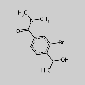 CC(O)c1ccc(C(=O)N(C)C)cc1Br